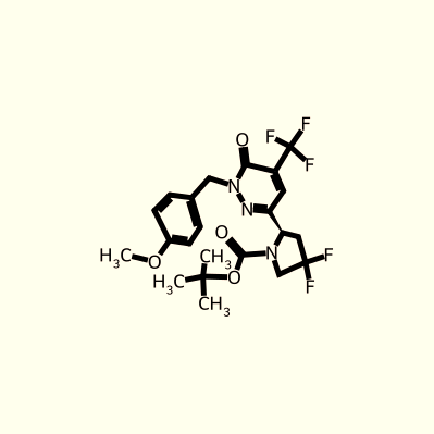 COc1ccc(Cn2nc([C@H]3CC(F)(F)CN3C(=O)OC(C)(C)C)cc(C(F)(F)F)c2=O)cc1